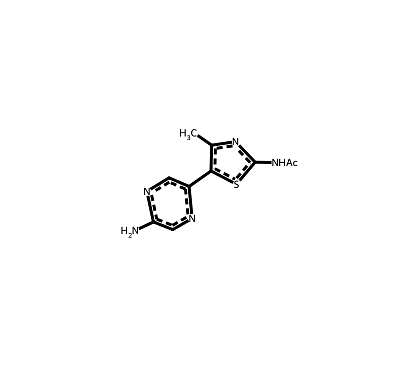 CC(=O)Nc1nc(C)c(-c2cnc(N)cn2)s1